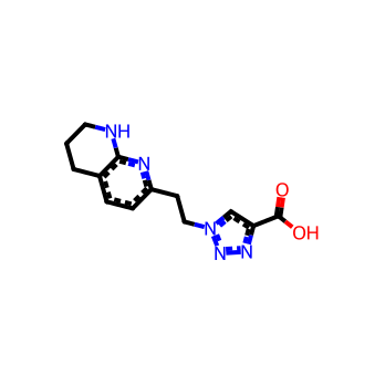 O=C(O)c1cn(CCc2ccc3c(n2)NCCC3)nn1